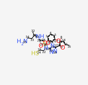 COc1cccc(OC)c1-n1c(-c2ccc(C)o2)nnc1N(CCS)S(=O)(=O)CCN[C@H](C)CCN